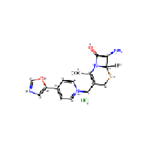 Cl.N[C@@H]1C(=O)N2C(C(=O)[O-])=C(C[n+]3ccc(-c4cnco4)cc3)CS[C@@H]12